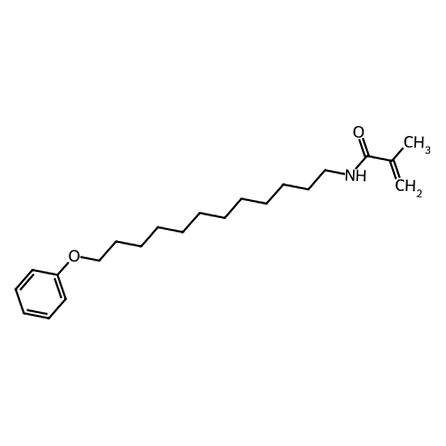 C=C(C)C(=O)NCCCCCCCCCCCCOc1ccccc1